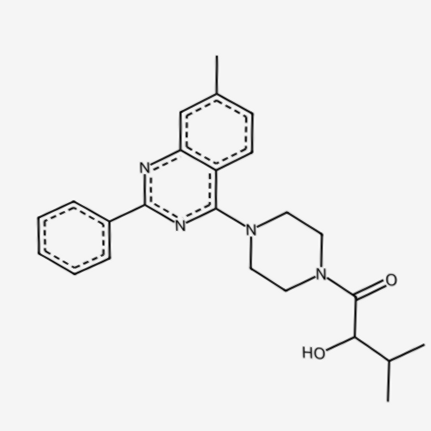 Cc1ccc2c(N3CCN(C(=O)C(O)C(C)C)CC3)nc(-c3ccccc3)nc2c1